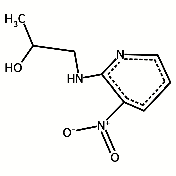 CC(O)CNc1ncccc1[N+](=O)[O-]